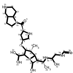 C[C@H]1C(S[C@@H]2CN[C@H](C(=O)N3CCC4CNCCC43)C2)C(C(O)O)N2C(O)[C@H]([C@@H](C)NC(O)CNC=N)C12